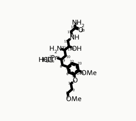 COCCCOc1cc(CC(CC(N)C(O)CNCC(N)=O)C(C)C)ccc1OC.Cl.Cl